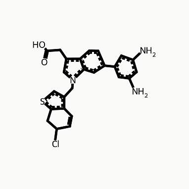 Nc1cc(N)cc(-c2ccc3c(CC(=O)O)cn(Cc4csc5c4C=CC(Cl)C5)c3c2)c1